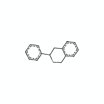 c1ccc([C]2CCc3ccccc3C2)cc1